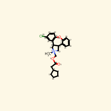 C[N+]1(COC(=O)CC2CCCC2)CC2c3ccccc3Oc3ccc(Cl)cc3C2C1